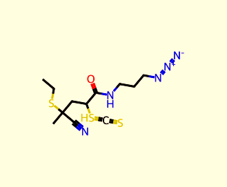 CCSC(C)(C#N)CC([SH]=C=S)C(=O)NCCCN=[N+]=[N-]